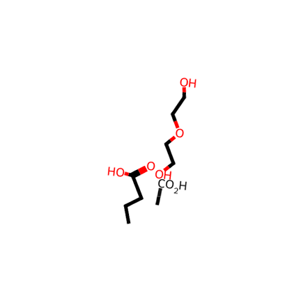 CC(=O)O.CCCC(=O)O.OCCOCCO